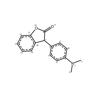 CN(C)c1ccc(C2C(=O)Oc3ccccc32)cc1